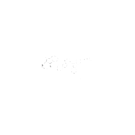 Cc1ccc2c(c1)c1cc(C)ccc1n2-c1cccc2c1oc1cccc(-c3cccc4sc5ccccc5c34)c12